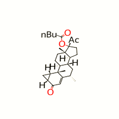 CCCCC(=O)O[C@]1(C(C)=O)CC[C@H]2[C@@H]3C[C@H](C)C4=CC(=O)[C@@H]5C[C@@H]5[C@]4(C)[C@H]3CC[C@@]21C